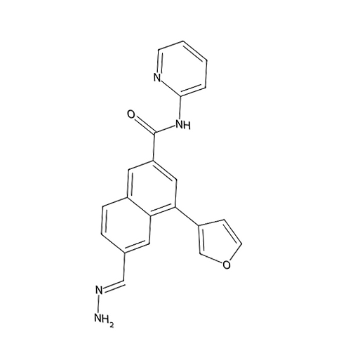 NN=Cc1ccc2cc(C(=O)Nc3ccccn3)cc(-c3ccoc3)c2c1